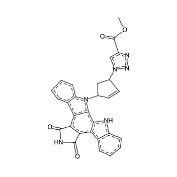 COC(=O)c1cn(C2C=CC(n3c4ccccc4c4c5c(c6c7ccccc7[nH]c6c43)C(=O)NC5=O)C2)nn1